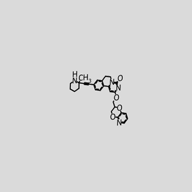 CC1(C#Cc2ccc3c(c2)CCn2c-3cc(OCC3COc4ncccc4O3)nc2=O)CCCCN1